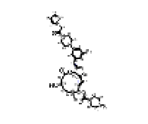 C/C(=C\c1cc(F)cc(N2CCN(C(=O)Cn3cccn3)CC2)c1)[C@H]1OC(=O)C[C@H](O)CC[C@H](C)[C@H](OC(=O)N2CCN(C)CC2)/C=C/[C@@H]1C